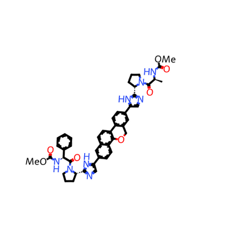 COC(=O)N[C@@H](C)C(=O)N1CCC[C@H]1c1ncc(-c2ccc3c(c2)COc2c-3ccc3cc(-c4cnc([C@@H]5CCCN5C(=O)[C@H](NC(=O)OC)c5ccccc5)[nH]4)ccc23)[nH]1